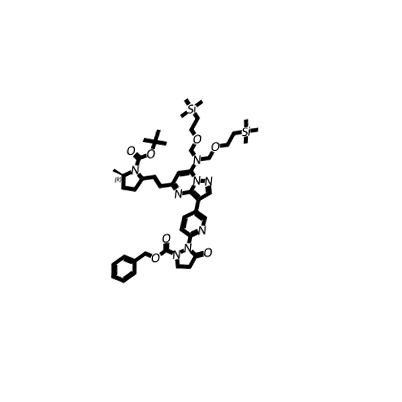 C[C@@H]1CCC(CCc2cc(N(COCC[Si](C)(C)C)COCC[Si](C)(C)C)n3ncc(-c4ccc(N5C(=O)CCN5C(=O)OCc5ccccc5)nc4)c3n2)N1C(=O)OC(C)(C)C